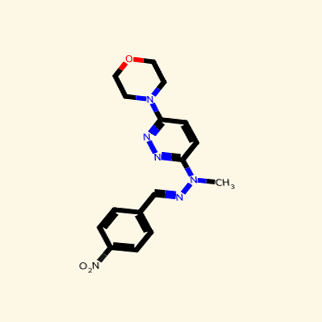 CN(N=Cc1ccc([N+](=O)[O-])cc1)c1ccc(N2CCOCC2)nn1